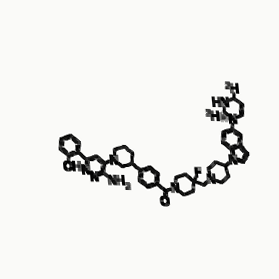 [2H]C1C=CN(c2ccc3c(ccn3C3CCN(CC4(F)CCN(C(=O)c5ccc(C6CCCN(c7cc(-c8ccccc8O)nnc7N)C6)cc5)CC4)CC3)c2)[C@H]([2H])N1